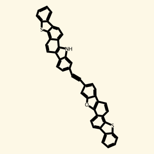 C(#Cc1ccc2c(c1)oc1c2ccc2c1ccc1c3ccccc3sc12)c1ccc2c(c1)[nH]c1c2ccc2c1ccc1c3ccccc3sc12